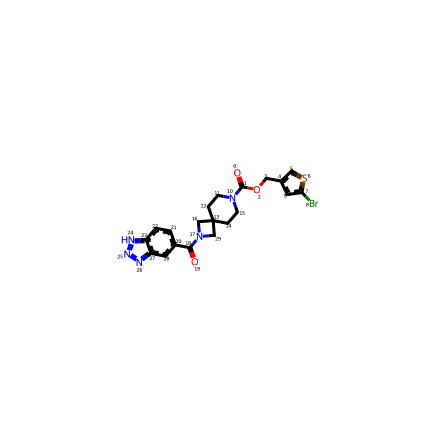 O=C(OCc1csc(Br)c1)N1CCC2(CC1)CN(C(=O)c1ccc3[nH]nnc3c1)C2